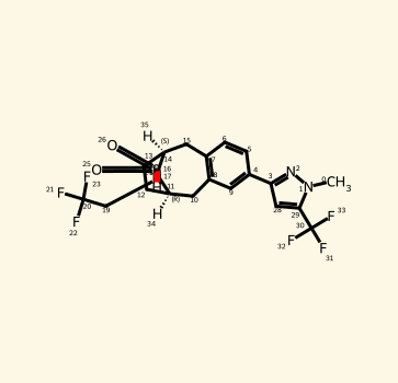 Cn1nc(-c2ccc3c(c2)C[C@H]2CC[C@@H](C3)[C@]23CN(CC(F)(F)F)S(=O)(=O)N3)cc1C(F)(F)F